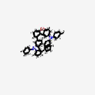 Cc1ccc(N(c2ccccc2)c2ccc3oc4cccc(-c5ccc6c7c(-c8ccccc8)cccc7n(-c7ccccc7)c6c5)c4c3c2)cc1